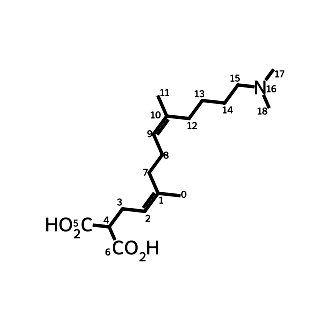 CC(=CCC(C(=O)O)C(=O)O)CCC=C(C)CCCCN(C)C